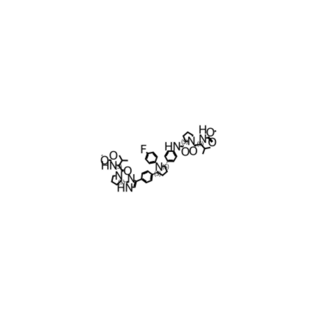 COC(=O)N[C@H](C(=O)N1CCC[C@H]1C(=O)Nc1ccc([C@@H]2CC[C@@H](c3ccc(-c4c[nH]c([C@@H]5CCCN5C(=O)[C@@H](NC(=O)OC)C(C)C)n4)cc3)N2c2ccc(F)cc2)cc1)C(C)C